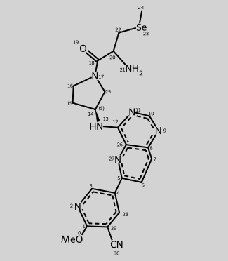 COc1ncc(-c2ccc3ncnc(N[C@H]4CCN(C(=O)C(N)C[Se]C)C4)c3n2)cc1C#N